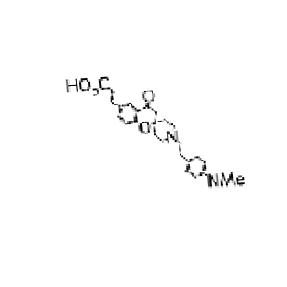 CNc1ccc(CCN2CCC3(CC2)CC(=O)c2cc(C=CC(=O)O)ccc2O3)cc1